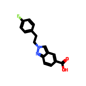 O=C(O)c1ccc2nn(CCc3ccc(F)cc3)cc2c1